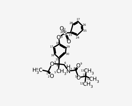 CC(=O)OC(C)(CNC(=O)OC(C)(C)C)c1ccc(OS(=O)(=O)c2ccccc2)cc1